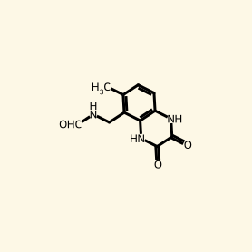 Cc1ccc2[nH]c(=O)c(=O)[nH]c2c1CNC=O